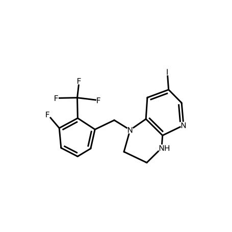 Fc1cccc(CN2CCNc3ncc(I)cc32)c1C(F)(F)F